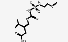 COCCNS(=O)(=O)NC(=O)OCC(CC(=O)O)C(C)C